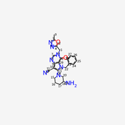 Cc1nnc(Cn2cnc3c(C#N)c(N4CCCC(N)C4)n(Cc4ccccc4)c3c2=O)o1